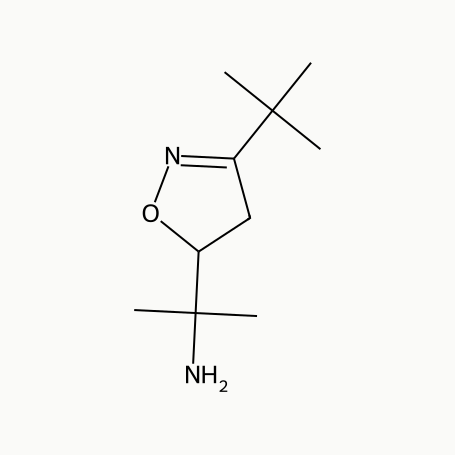 CC(C)(C)C1=NOC(C(C)(C)N)C1